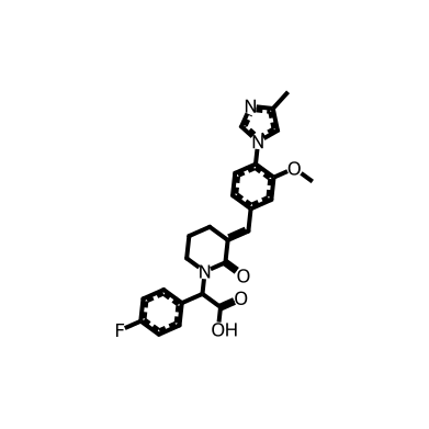 COc1cc(C=C2CCCN(C(C(=O)O)c3ccc(F)cc3)C2=O)ccc1-n1cnc(C)c1